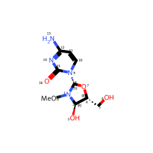 CON1[C@H](O)[C@@H](CO)O[C@H]1n1ccc(N)nc1=O